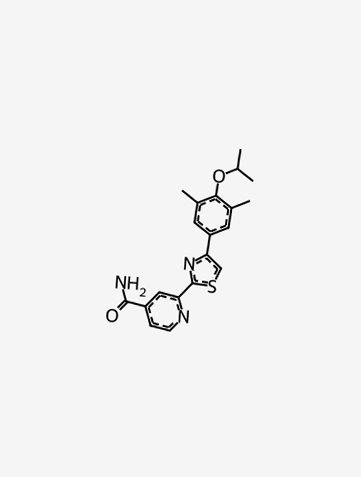 Cc1cc(-c2csc(-c3cc(C(N)=O)ccn3)n2)cc(C)c1OC(C)C